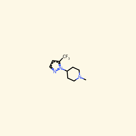 CN1CCC(n2nccc2C(F)(F)F)CC1